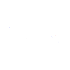 CC(C)(N)C(=O)N1CCN(C(=O)Nc2ccn(-c3ccc(CCCN4CC(N)C4)cc3)c(=O)n2)CC1